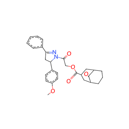 COc1ccc(C2CC(c3ccccc3)=NN2C(=O)COC(=O)C2CC3CCCC(C2)C3=O)cc1